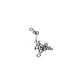 CC(C)(C)OC(=O)[C@H](Cc1ccc(/C=C/CCCC(=O)OCc2ccccc2)s1)NC(=O)OCc1ccccc1